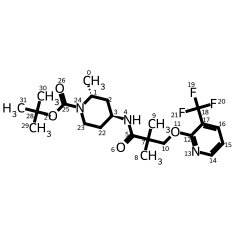 C[C@@H]1C[C@@H](NC(=O)C(C)(C)COc2ncccc2C(F)(F)F)CCN1C(=O)OC(C)(C)C